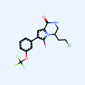 O=C1NCC(CCCl)n2c1cc(-c1cccc(OC(F)(F)F)c1)c2I